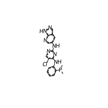 CP(C)c1ccccc1Nc1nc(Nc2cnc3[nH]ncc3c2)ncc1Cl